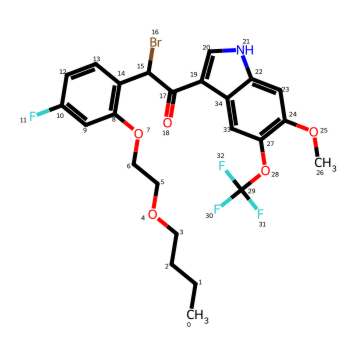 CCCCOCCOc1cc(F)ccc1C(Br)C(=O)c1c[nH]c2cc(OC)c(OC(F)(F)F)cc12